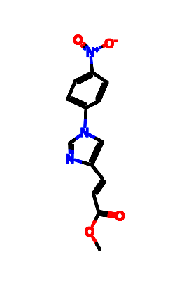 COC(=O)C=Cc1cn(-c2ccc([N+](=O)[O-])cc2)cn1